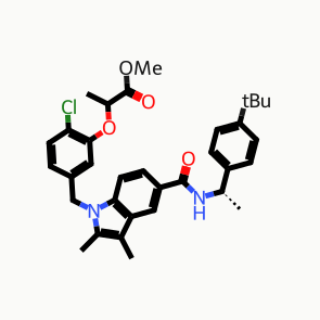 COC(=O)C(C)Oc1cc(Cn2c(C)c(C)c3cc(C(=O)N[C@@H](C)c4ccc(C(C)(C)C)cc4)ccc32)ccc1Cl